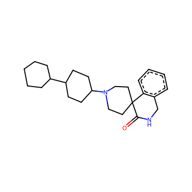 O=C1NCc2ccccc2C12CCN(C1CCC(C3CCCCC3)CC1)CC2